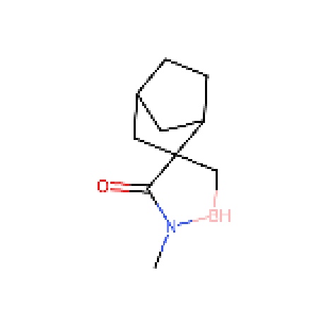 CN1BCC2(CC3CCC2C3)C1=O